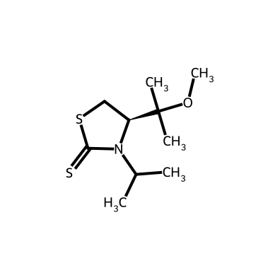 COC(C)(C)[C@@H]1CSC(=S)N1C(C)C